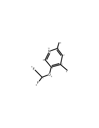 Cc1cc(C)c(OC(F)F)cn1